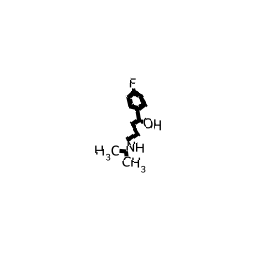 CC(C)NCCCC(O)c1ccc(F)cc1